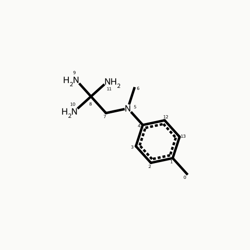 Cc1ccc(N(C)CC(N)(N)N)cc1